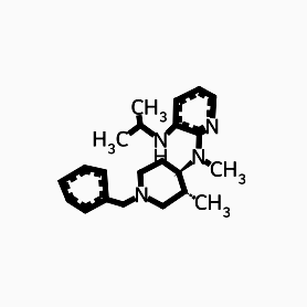 CC(C)Nc1cccnc1N(C)[C@@H]1CCN(Cc2ccccc2)C[C@H]1C